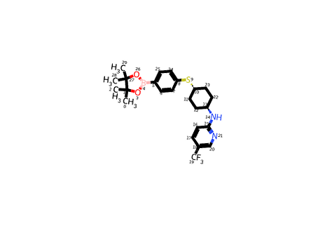 CC1(C)OB(c2ccc(S[C@H]3CC[C@H](Nc4ccc(C(F)(F)F)cn4)CC3)cc2)OC1(C)C